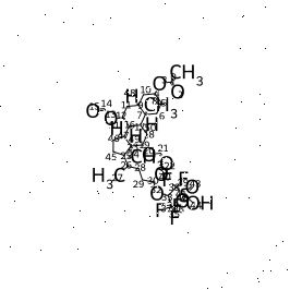 CC(=O)O[C@@H]1CC[C@@]2(C)[C@@H](C1)C[C@@H](OC=O)[C@@H]1[C@@H]2C[C@H](OC=O)[C@]2(C)[C@@H](C(C)CCC(=O)OC(C(F)(F)F)C(F)(F)S(=O)(=O)O)CC[C@@H]12